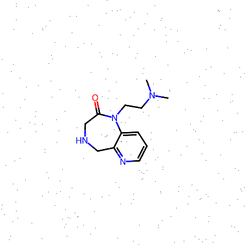 CN(C)CCN1C(=O)CNCc2ncccc21